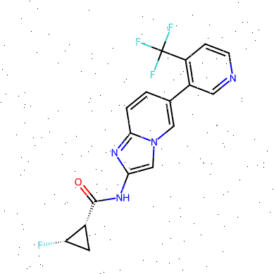 O=C(Nc1cn2cc(-c3cnccc3C(F)(F)F)ccc2n1)[C@@H]1C[C@@H]1F